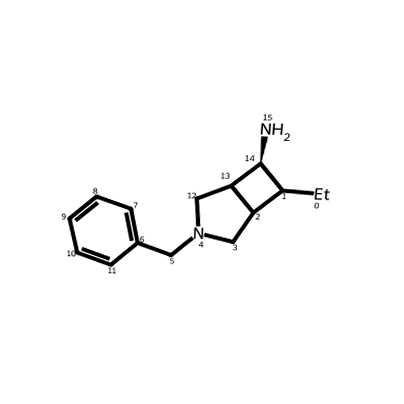 CCC1C2CN(Cc3ccccc3)CC2[C@H]1N